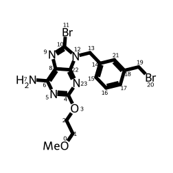 COCCOc1nc(N)c2nc(Br)n(Cc3cccc(CBr)c3)c2n1